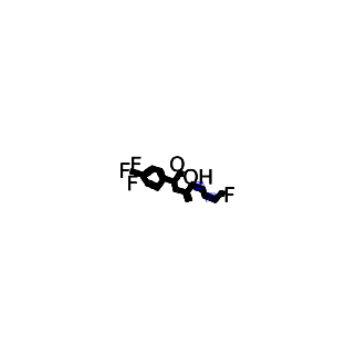 C=C(/C=C\C=C/CF)CC(C(=O)O)c1ccc(C(F)(F)F)cc1